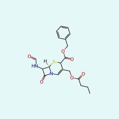 CCCC(=O)OCC1=CN2C(=O)C(NC=O)[C@H]2SC1C(=O)OCc1ccccc1